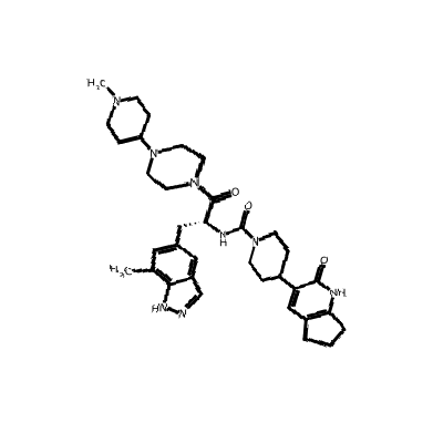 Cc1cc(C[C@@H](NC(=O)N2CCC(c3cc4c([nH]c3=O)CCC4)CC2)C(=O)N2CCN(C3CCN(C)CC3)CC2)cc2cn[nH]c12